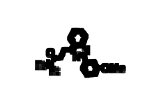 CCN(CC)C(=O)CCc1nc(-c2cccc(OC)c2)nc2ccccc12